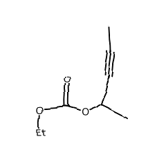 CC#CC(C)OC(=O)OCC